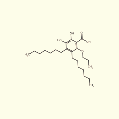 CCCCCCCc1c(O)c(O)c(C(=O)O)c(OCCC)c1CCCCCCC